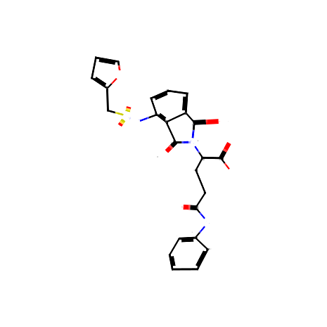 O=C(CCC(C(=O)O)N1C(=O)c2cccc(NS(=O)(=O)Cc3ccco3)c2C1=O)Nc1ccccc1